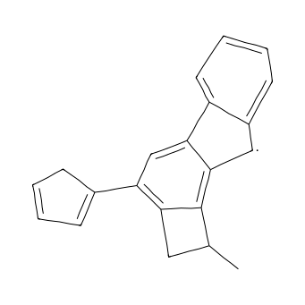 CC1Cc2c(C3=CC=CC3)cc3c(c21)[CH]c1ccccc1-3